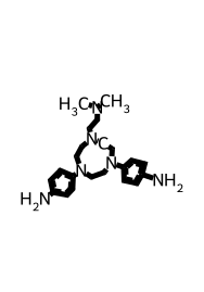 CN(C)CCN1CCN(c2ccc(N)cc2)CCN(c2ccc(N)cc2)CC1